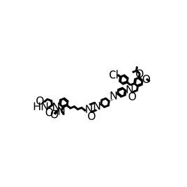 COc1cc2c(cc1OC(C)C)C(c1ccc(Cl)cc1)N(c1ccc(N(C)C[C@H]3CC[C@H](N4CCN(CCCCCc5cccc6c5n(C)c(=O)n6C5CCC(=O)NC5=O)C(=O)C4)CC3)cc1)C(=O)C2